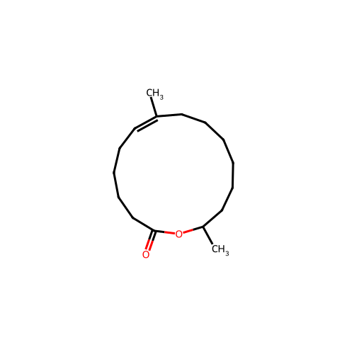 CC1=CCCCCC(=O)OC(C)CCCCCC1